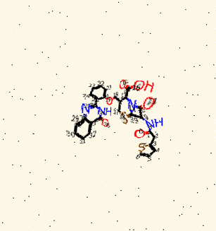 O=C(Cc1cccs1)NC1C(=O)N2C(C(=O)O)C(COc3ccccc3-c3nc4ccccc4c(=O)[nH]3)=CSC12